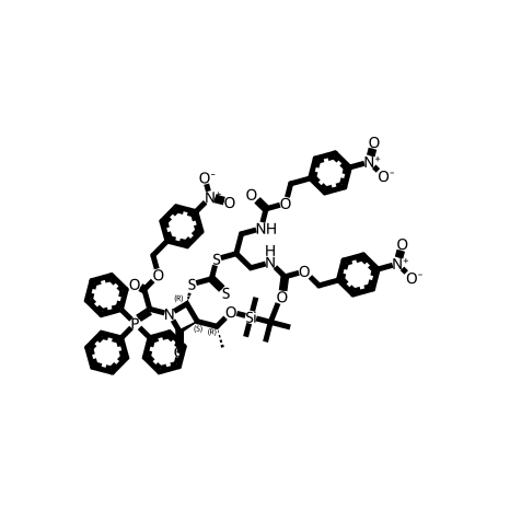 C[C@@H](O[Si](C)(C)C(C)(C)C)[C@H]1C(=O)N(C(C(=O)OCc2ccc([N+](=O)[O-])cc2)=P(c2ccccc2)(c2ccccc2)c2ccccc2)[C@@H]1SC(=S)SC(CNC(=O)OCc1ccc([N+](=O)[O-])cc1)CNC(=O)OCc1ccc([N+](=O)[O-])cc1